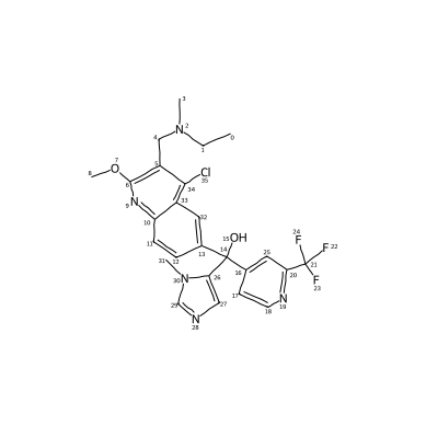 CCN(C)Cc1c(OC)nc2ccc(C(O)(c3ccnc(C(F)(F)F)c3)c3cncn3C)cc2c1Cl